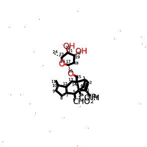 CC(C)C1=CC2CC3(C=O)C4CCC(C)C4CC2(CO[C@H]2C[C@H](O)[C@H](O)[C@@H](C)O2)C13C(=O)O